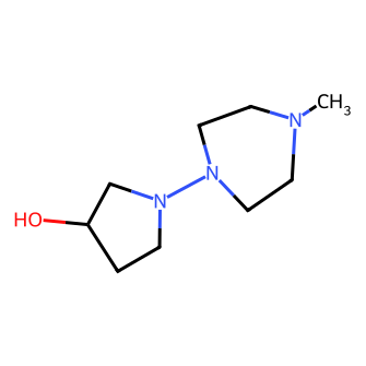 CN1CCN(N2CCC(O)C2)CC1